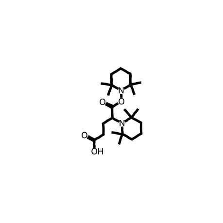 CC1(C)CCCC(C)(C)N1OC(=O)C(CCC(=O)O)N1C(C)(C)CCCC1(C)C